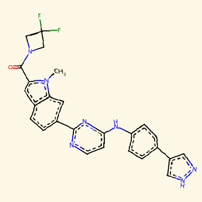 Cn1c(C(=O)N2CC(F)(F)C2)cc2ccc(-c3nccc(Nc4ccc(-c5cn[nH]c5)cc4)n3)cc21